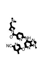 Cc1cc(C#N)ncc1Oc1cc(Nc2ccc(C(=O)N3CC(CN(C)C)C3)cn2)c2ncn(C)c2n1